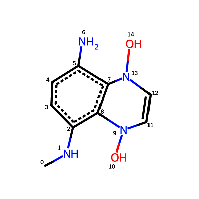 CNc1ccc(N)c2c1N(O)C=CN2O